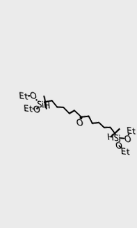 CCO[SiH](OCC)C(C)(C)CCCCCC(=O)CCCCCC(C)(C)[SiH](OCC)OCC